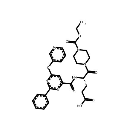 CCOC(=O)N1CCN(C(=O)[C@H](CCC(=O)O)NC(=O)c2cc(Oc3cccnc3)nc(-c3ccccc3)n2)CC1